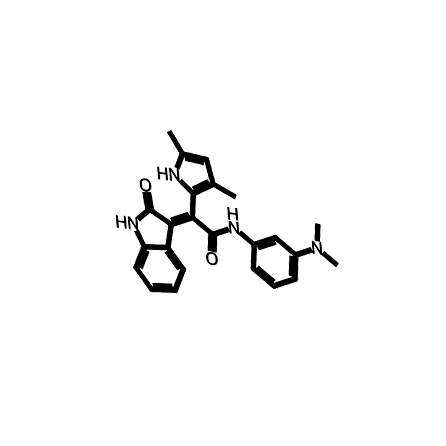 Cc1cc(C)c(/C(C(=O)Nc2cccc(N(C)C)c2)=C2\C(=O)Nc3ccccc32)[nH]1